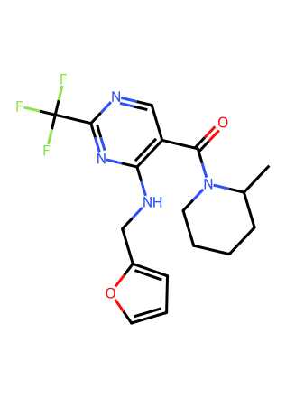 CC1CCCCN1C(=O)c1cnc(C(F)(F)F)nc1NCc1ccco1